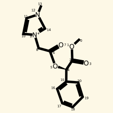 COC(=O)[C@H](OC(=O)C[n+]1ccn(C)c1)c1ccccc1